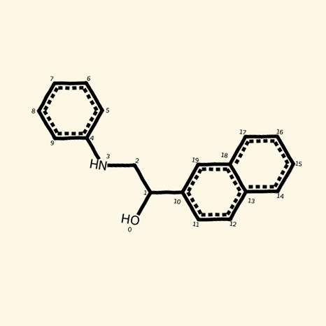 OC(CNc1ccccc1)c1ccc2ccccc2c1